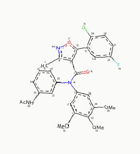 COc1cc(N(C(=O)c2c(C)noc2-c2cc(F)ccc2Cl)c2cccc(NC(C)=O)c2)cc(OC)c1OC